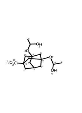 CC(O)OC12CC3CC(OC(C)O)(C1)CC(C(=O)O)(C3)C2